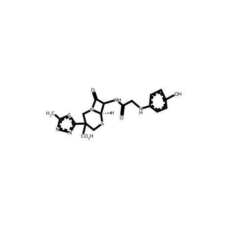 Cc1nnc(C2(C(=O)O)CS[C@@H]3C(NC(=O)CNc4ccc(O)cc4)C(=O)N3C2)s1